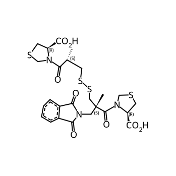 C[C@H](CSSC[C@@](C)(CN1C(=O)c2ccccc2C1=O)C(=O)N1CSC[C@H]1C(=O)O)C(=O)N1CSC[C@H]1C(=O)O